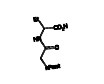 CCCCCCC(=O)NC(CC)C(=O)O